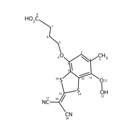 Cc1cc(OCCCC(=O)O)c2c(c1OO)SC(=C(C#N)C#N)S2